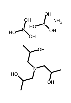 CC(O)CN(CC(C)O)CC(C)O.N.OB(O)O.OB(O)O